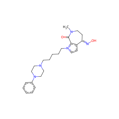 CN1CCC(=NO)c2ccn(CCCCCN3CCN(c4ccccc4)CC3)c2C1=O